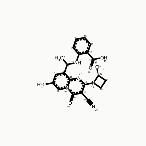 Cc1cc(C(C)Nc2ccccc2C(=O)O)c2nc(N3CC[C@@H]3C)c(C#N)c(=O)n2c1